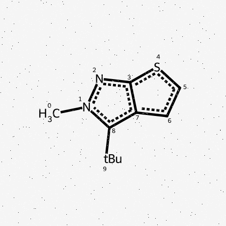 Cn1nc2sccc2c1C(C)(C)C